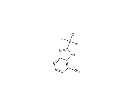 Cc1ccnc2nc(C(Cl)(Cl)Cl)[nH]c12